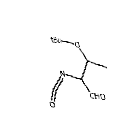 CC(OC(C)(C)C)C(C=O)N=C=O